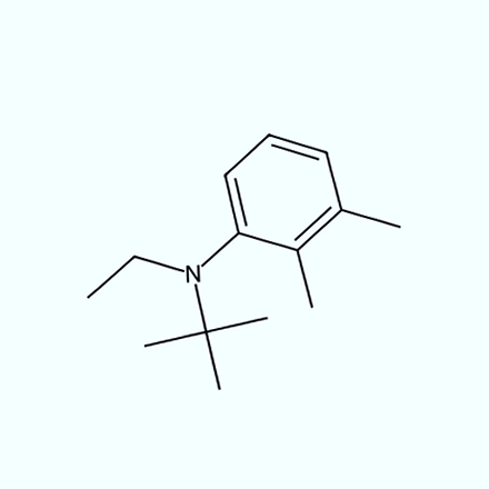 CCN(c1cccc(C)c1C)C(C)(C)C